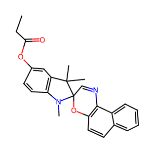 CCC(=O)Oc1ccc2c(c1)C(C)(C)C1(C=Nc3c(ccc4ccccc34)O1)N2C